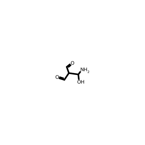 NC(O)C(C=O)C=O